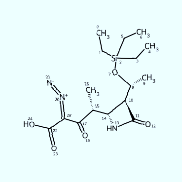 CC[Si](CC)(CC)O[C@H](C)[C@H]1C(=O)N[C@@H]1[C@@H](C)C(=O)C(=[N+]=[N-])C(=O)O